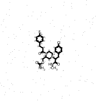 CNC(=O)C(Cc1ccc(Cl)cc1)N1CCN(C(=O)[CH]Cc2ccc(F)cc2)C(COC(N)=O)C1